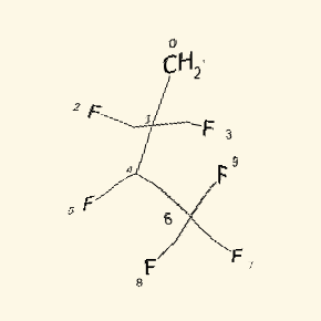 [CH2]C(F)(F)C(F)C(F)(F)F